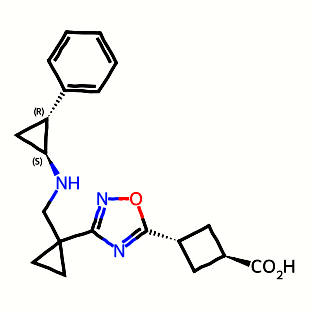 O=C(O)[C@H]1C[C@H](c2nc(C3(CN[C@H]4C[C@@H]4c4ccccc4)CC3)no2)C1